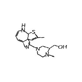 CC1=CC23C=C(N4CCN(C)C(CO)C4)N=CC2=CC=CNC3S1